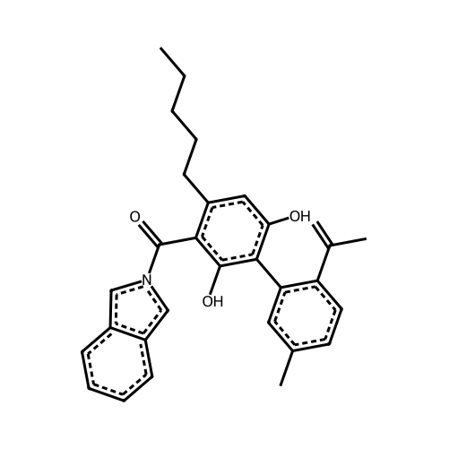 C=C(C)c1ccc(C)cc1-c1c(O)cc(CCCCC)c(C(=O)n2cc3ccccc3c2)c1O